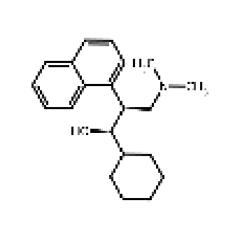 CN(C)C[C@H](c1cccc2ccccc12)[C@H](O)C1CCCCC1